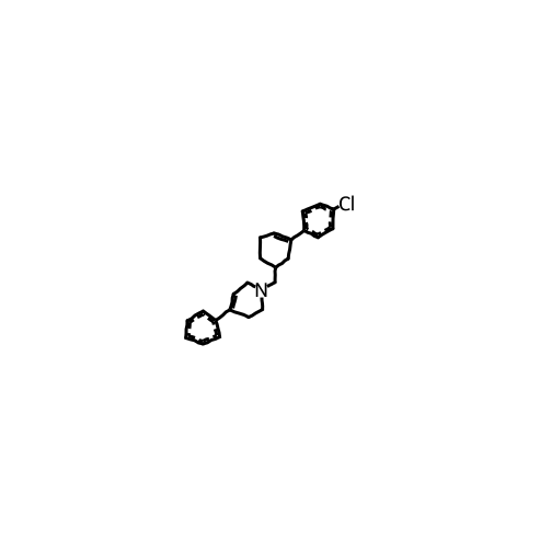 Clc1ccc(C2=CCCC(CN3CC=C(c4ccccc4)CC3)C2)cc1